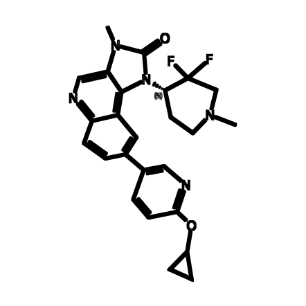 CN1CC[C@H](n2c(=O)n(C)c3cnc4ccc(-c5ccc(OC6CC6)nc5)cc4c32)C(F)(F)C1